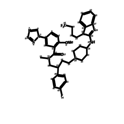 COc1ccc(-n2cnnn2)cc1C(=O)N(C)CC(CCN1CCC(Nc2nc3ccccc3n2CCCC(F)(F)F)CC1)c1ccc(F)cc1